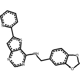 c1ccc(-c2cc3ncnc(NCc4ccc5c(c4)OCO5)c3s2)nc1